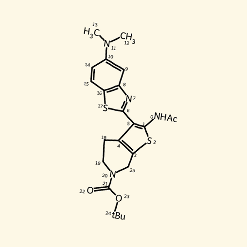 CC(=O)Nc1sc2c(c1-c1nc3cc(N(C)C)ccc3s1)CCN(C(=O)OC(C)(C)C)C2